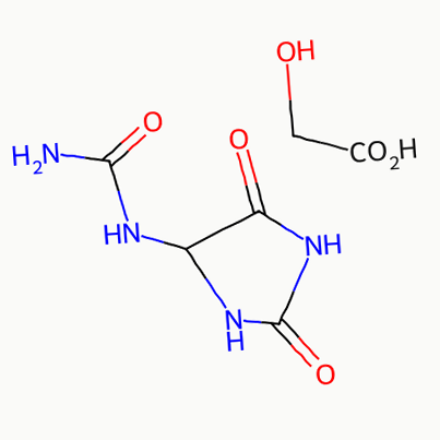 NC(=O)NC1NC(=O)NC1=O.O=C(O)CO